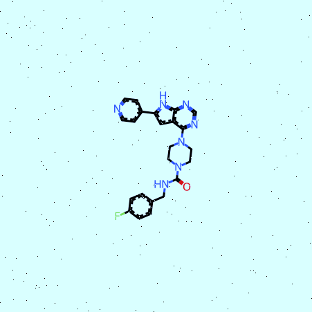 O=C(NCc1ccc(F)cc1)N1CCN(c2ncnc3[nH]c(-c4ccncc4)cc23)CC1